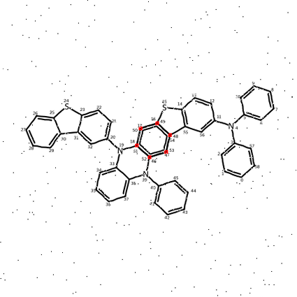 c1ccc(N(c2ccccc2)c2ccc3sc4cc(N(c5ccc6sc7ccccc7c6c5)c5ccccc5N(c5ccccc5)c5ccccc5)ccc4c3c2)cc1